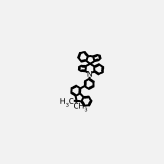 CC1(C)c2ccccc2-c2c(-c3cccc(N4c5ccccc5C5(c6ccccc6-c6ccccc65)c5ccccc54)c3)cccc21